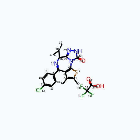 Cc1sc2c(c1C)C(c1ccc(Cl)cc1)=N[C@]1(C[C@H]1C)c1n[nH]c(=O)n1-2.O=C(O)C(F)(F)F